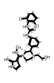 CN/C(=C1/C=CNC1=N)N1CCN(CCO)C(c2cccc(NC(=O)Nc3c(Cl)cccc3Cl)c2)C1